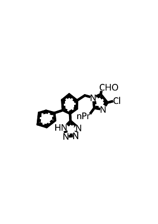 CCCc1nc(Cl)c(C=O)n1Cc1ccc(-c2ccccc2)c(-c2nnn[nH]2)c1